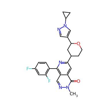 Cn1ncc2c(-c3ccc(F)cc3F)nc(C3CCOC(c4cnn(C5CC5)c4)C3)cc2c1=O